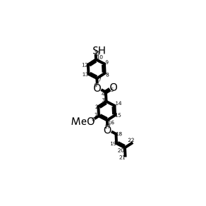 COc1cc(C(=O)Oc2ccc(S)cc2)ccc1OCC=C(C)C